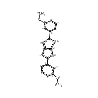 COc1cccc(-c2nc3sc(-c4cccc(OC)n4)nc3s2)n1